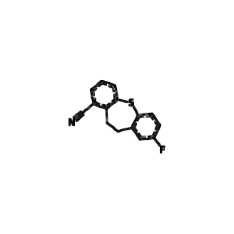 N#Cc1cccc2c1CCc1cc(F)ccc1S2